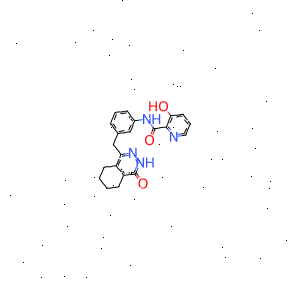 O=C(Nc1cccc(Cc2n[nH]c(=O)c3c2CCCC3)c1)c1ncccc1O